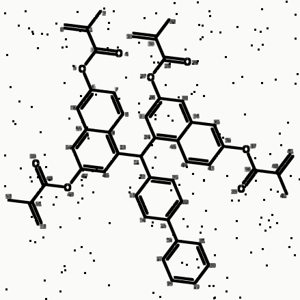 C=C(C)C(=O)Oc1ccc2c(C(c3ccc(-c4ccccc4)cc3)c3cc(OC(=O)C(=C)C)cc4cc(OC(=O)C(=C)C)ccc34)cc(OC(=O)C(=C)C)cc2c1